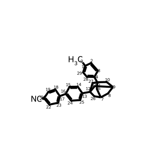 Cc1ccc(C23CC4CC(C2)CC(c2ccc(-c5ccc(C#N)cc5)cc2)(C4)C3)cc1